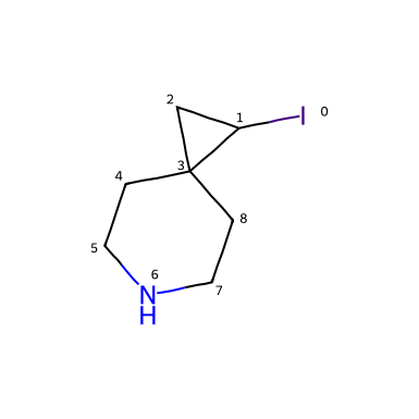 IC1CC12CCNCC2